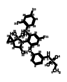 CCS(=O)(=O)Nc1cccc(Oc2cc(F)cc(Nc3ccc(I)cc3F)c2N2C(O)CC3(CC3)S2(O)O)c1